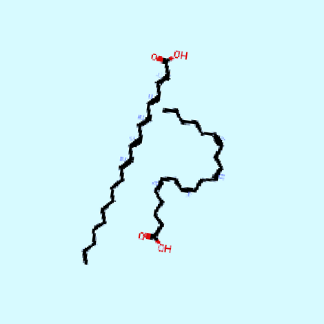 CCCCC/C=C\C/C=C\C/C=C\C/C=C\CCCC(=O)O.CCCCCCCCC/C=C/C=C/C=C/C=C/C=C/C(=O)O